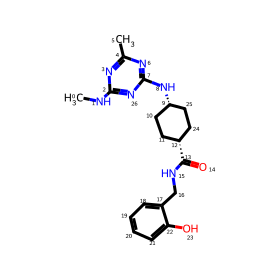 CNc1nc(C)nc(N[C@H]2CC[C@@H](C(=O)NCc3ccccc3O)CC2)n1